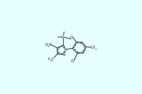 C[Si](C)(C)c1c([N+](=O)[O-])c(C(F)(F)F)nn1-c1c(Cl)cc(C(F)(F)F)cc1Cl